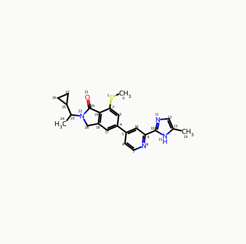 CSc1cc(-c2ccnc(-c3ncc(C)[nH]3)c2)cc2c1C(=O)N(C(C)C1CC1)C2